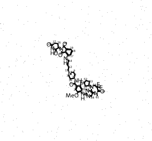 COc1cc(C(=O)NC2CCN(CCCCNc3cccc4c3C(=O)N(C3CCC(=O)NC3=O)C4=O)CC2)c(F)cc1Nc1ncc2c(n1)N(C1CCCC1)CC(F)(F)C(=O)N2C